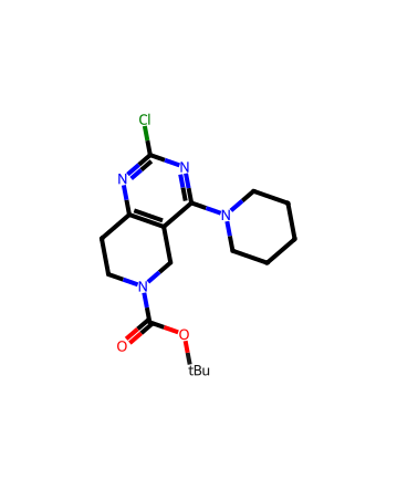 CC(C)(C)OC(=O)N1CCc2nc(Cl)nc(N3CCCCC3)c2C1